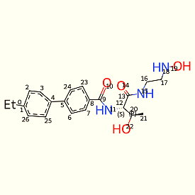 CCc1ccc(-c2ccc(C(=O)N[C@H](C(=O)NCCNO)[C@@H](C)O)cc2)cc1